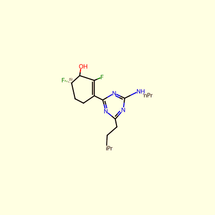 CCCNc1nc(CCC(C)C)nc(C2=C(F)C(O)[C@@H](F)CC2)n1